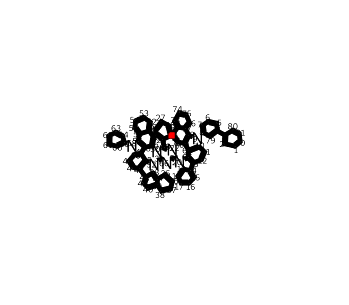 c1ccc(-c2cccc(-n3c4ccc5c6ccccc6n(-c6nc(-c7ccccc7)nc(-n7c8c9ccccc9ccc8c8ccc9c(c%10ccc%11ccccc%11c%10n9-c9ccccc9)c87)n6)c5c4c4ccc5ccccc5c43)c2)cc1